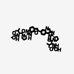 COC(=O)N[C@H](C(=O)N1CCC[C@H]1c1nc2ccc3cc(-c4ccc5c(c4)ncc4nc([C@@H]6CCCN6C(=O)[C@@H](NC(=O)O)C(C)C)[nH]c45)oc3c2[nH]1)C(C)C